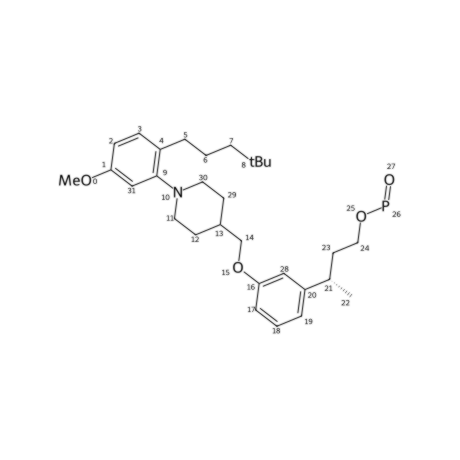 COc1ccc(CCCC(C)(C)C)c(N2CCC(COc3cccc([C@@H](C)CCOP=O)c3)CC2)c1